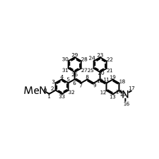 CNCc1ccc(C(=CC=CC(=C2C=CC(N(C)C)C=C2)c2ccccc2)c2ccccc2)cc1